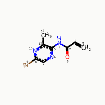 C=CC(=O)Nc1ncc(Br)nc1C